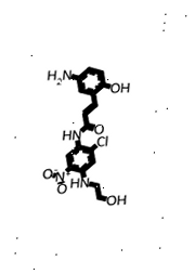 Nc1ccc(O)c(/C=C/C(=O)Nc2cc([N+](=O)[O-])c(NCCO)cc2Cl)c1